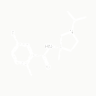 Cc1ccc(F)cc1C(=O)NC1(C)CCN(C(C)C)C1